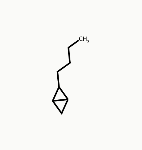 CCCC[C]1C2CC12